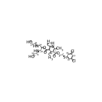 CC1=C(C(=O)OCCSc2cc(Cl)cc(Cl)c2)C(C)C(C(=O)OC(CNCCO)CNCCO)=C(C)N1